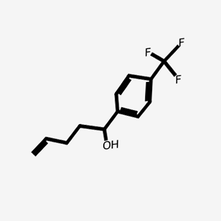 C=CCCC(O)c1ccc(C(F)(F)F)cc1